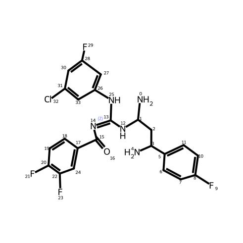 NC(CC(N)c1ccc(F)cc1)N/C(=N\C(=O)c1ccc(F)c(F)c1)Nc1cc(F)cc(Cl)c1